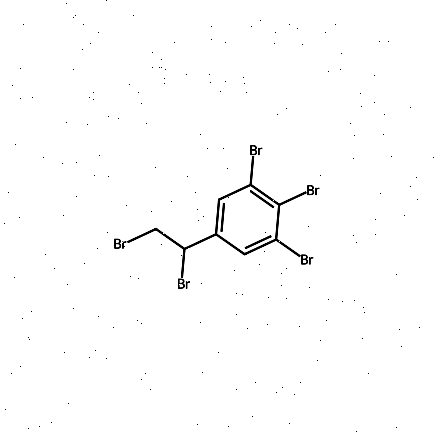 BrCC(Br)c1cc(Br)c(Br)c(Br)c1